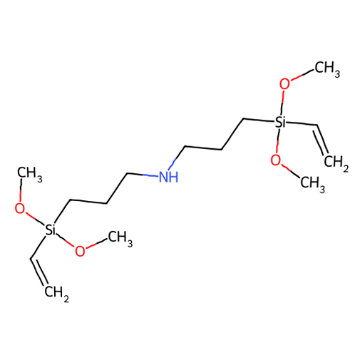 C=C[Si](CCCNCCC[Si](C=C)(OC)OC)(OC)OC